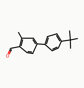 Cc1cc(-c2ccc(C(C)(C)C)cc2)ccc1[C]=O